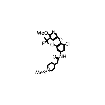 COc1ncc(Oc2c(Cl)cc(NC(=O)CC3CCN(SC)CC3)cc2Cl)cc1C(C)(C)F